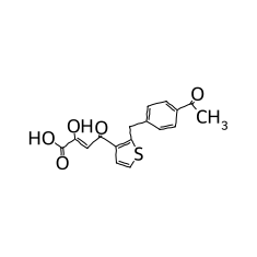 CC(=O)c1ccc(Cc2sccc2C(=O)C=C(O)C(=O)O)cc1